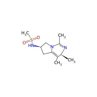 CC1=N[C@@H](C)C(C)=C2C[C@@H](NS(C)(=O)=O)CN12